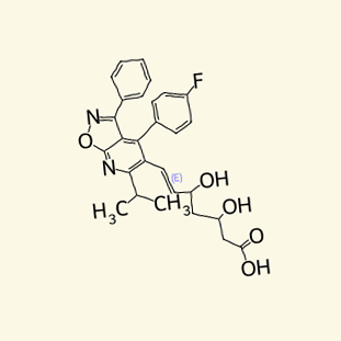 CC(C)c1nc2onc(-c3ccccc3)c2c(-c2ccc(F)cc2)c1/C=C/C(O)CC(O)CC(=O)O